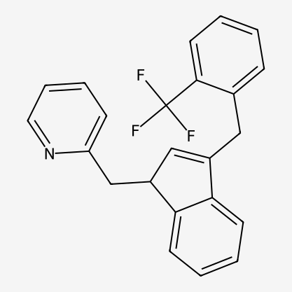 FC(F)(F)c1ccccc1CC1=CC(Cc2ccccn2)c2ccccc21